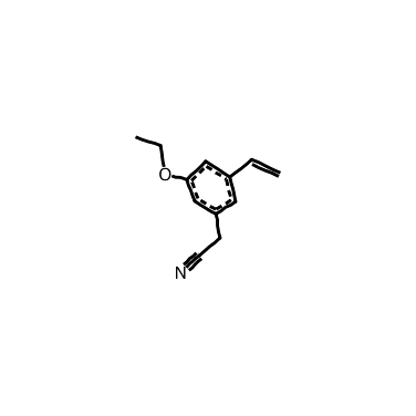 C=Cc1cc(CC#N)cc(OCC)c1